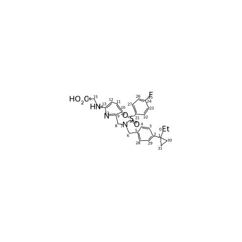 CCC1(c2ccc(CN(Cc3cccc(NCC(=O)O)n3)S(=O)(=O)c3ccc(F)cc3)cc2)CC1